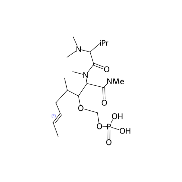 C/C=C/CC(C)C(OCOP(=O)(O)O)C(C(=O)NC)N(C)C(=O)C(C(C)C)N(C)C